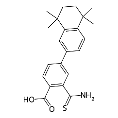 CC1(C)CCC(C)(C)c2cc(-c3ccc(C(=O)O)c(C(N)=S)c3)ccc21